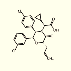 C=CC[C@@H]1O[C@@H](c2cccc(Cl)c2)[C@@H](c2ccc(Cl)cc2)N([C@H](C(=O)O)C2CC2)C1=O